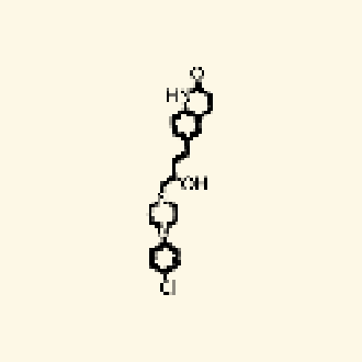 O=C1CCc2cc(C=C[C@H](O)CN3CCN(c4ccc(Cl)cc4)CC3)ccc2N1